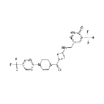 O=C(C1CC(NCc2cc(C(F)(F)F)c(=O)[nH]n2)C1)N1CCN(c2ncc(C(F)(F)F)cn2)CC1